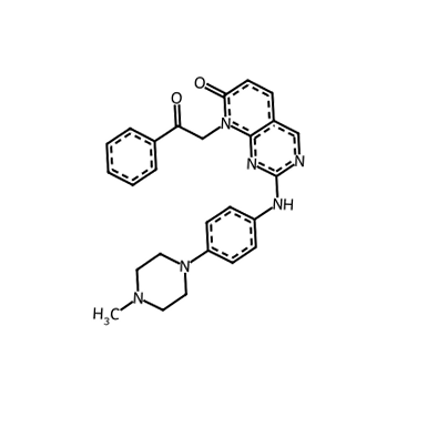 CN1CCN(c2ccc(Nc3ncc4ccc(=O)n(CC(=O)c5ccccc5)c4n3)cc2)CC1